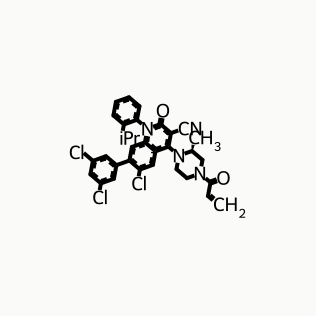 C=CC(=O)N1CCN(c2c(C#N)c(=O)n(-c3ccccc3C(C)C)c3cc(-c4cc(Cl)cc(Cl)c4)c(Cl)cc23)[C@@H](C)C1